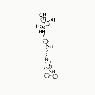 O=C(Nc1ccccc1-c1ccccc1)OC1CCN(CCCCCNc2ccc(CCNC[C@H](O)c3ccc(O)c4[nH]c(=O)ccc34)cc2)CC1